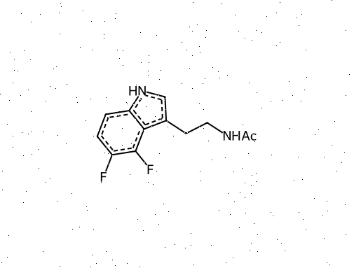 CC(=O)NCCc1c[nH]c2ccc(F)c(F)c12